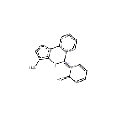 Cc1ccn2c1N/C(=C1/C=CC=CC1=N)c1ccccc1-2